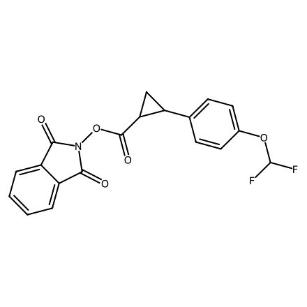 O=C(ON1C(=O)c2ccccc2C1=O)C1CC1c1ccc(OC(F)F)cc1